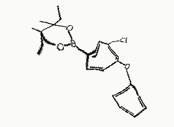 CC1(C)OB(c2ccc(Oc3ccccc3)c(Cl)c2)OC1(C)C